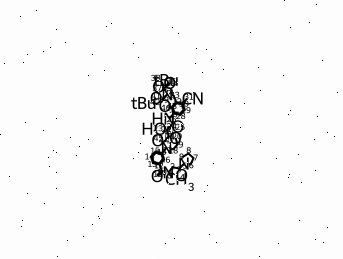 CN(CC(=O)N1CCCC1)C(=O)c1cccc(N2CCO[C@H]([C@@H](O)C(=O)Nc3ccc(C#N)c(CN(C(=O)OC(C)(C)C)C(=O)OC(C)(C)C)c3)C2=O)c1